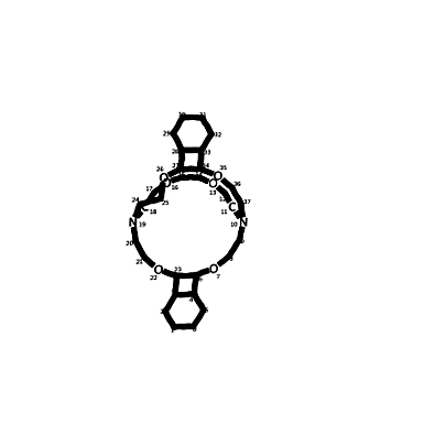 C1CCC2C(C1)C1OCCN3CCOCCOCCN(CCOC21)CCOC1C2CCCCC2C1OCC3